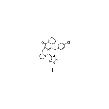 CCCc1noc(CN2CCCC2Cn2nc(Cc3ccc(Cl)cc3)c3ccccc3c2=O)n1